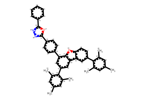 Cc1cc(C)c(-c2ccc3oc4c(-c5ccc(-c6nnc(-c7ccccc7)o6)cc5)cc(-c5c(C)cc(C)cc5C)cc4c3c2)c(C)c1